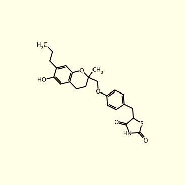 CCCc1cc2c(cc1O)CCC(C)(COc1ccc(CC3SC(=O)NC3=O)cc1)O2